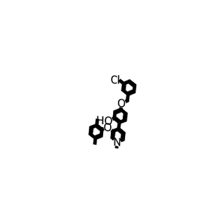 Cc1ccc(C)c(OC2=CN(C)C=C=C2c2ccc(OCc3cccc(Cl)c3)cc2O)c1